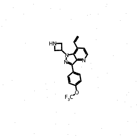 C=Cc1ccnc2c(-c3ccc(OC(F)(F)F)cc3)nn(C3CNC3)c12